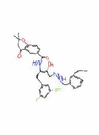 CCc1cccc(CNC[C@H](O)[C@@H](Cc2cc(F)cc(F)c2)NC(=O)c2ccc3c(c2)C(=O)CC(C)(C)O3)c1